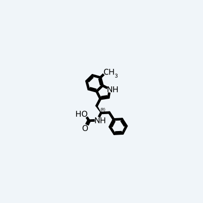 Cc1cccc2c(C[C@@H](Cc3ccccc3)NC(=O)O)c[nH]c12